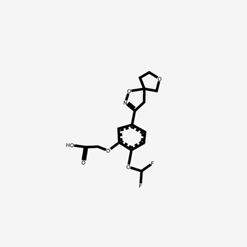 O=C(O)COc1cc(C2=NOC3(CCOC3)C2)ccc1OC(F)F